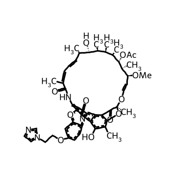 CO[C@H]1/C=C/O[C@@]2(C)Oc3c(C)c(O)c4c(=O)c(c5oc6cc(OCCn7ccnc7)ccc6nc-5c4c3C2=O)NC(=O)/C(C)=C\C=C\[C@H](C)[C@H](O)[C@@H](C)[C@@H](C)[C@@H](C)[C@H](OC(C)=O)[C@@H]1C